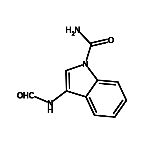 NC(=O)n1cc(NC=O)c2ccccc21